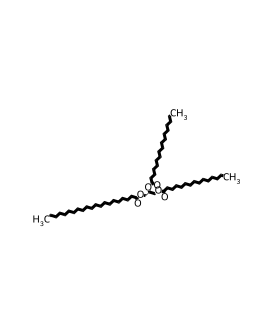 CCCCCCCCCCCCCCCCCCCCC(=O)OC[C@@H](COC(=O)CCCCCCCCCCCCCC)OC(=O)CCCCCCCCCCCCCCCC